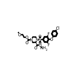 COCCOC(=O)N1CCN(S(=O)(=O)c2cc(F)c(Oc3ccc(Cl)cc3)c(F)c2)[C@@H](C(=O)ON)C1